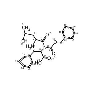 CC(C)CC(N)C(=O)N(C(=O)OCc1ccccc1)C(Cc1ccccc1)C(=O)O